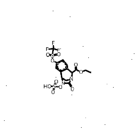 CCOC(=O)C1c2ccc(OS(=O)(=O)C(F)(F)F)cc2C2CN1C(=O)N2OS(=O)(=O)O